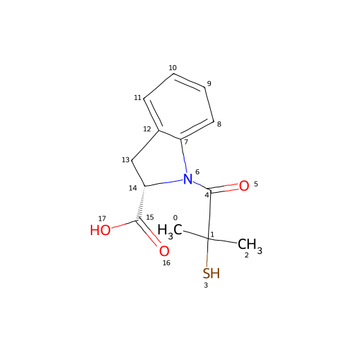 CC(C)(S)C(=O)N1c2ccccc2C[C@H]1C(=O)O